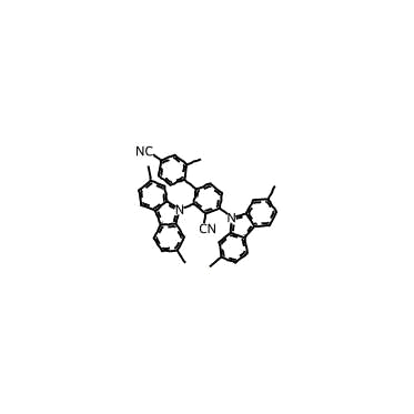 Cc1ccc2c3ccc(C)cc3n(-c3ccc(-c4ccc(C#N)cc4C)c(-n4c5cc(C)ccc5c5ccc(C)cc54)c3C#N)c2c1